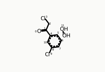 O=C(CCl)c1cccc(Cl)c1.OO